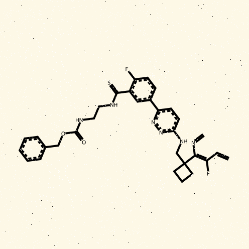 C=C/C(F)=C(\N=C)C1(CNc2ccc(-c3ccc(F)c(C(=S)NCCNC(=O)OCc4ccccc4)c3)nn2)CCC1